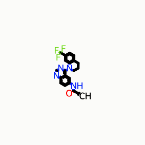 C#CC(=O)Nc1ccc2ncnc(N3CCCc4ccc(C(F)(F)F)cc43)c2c1